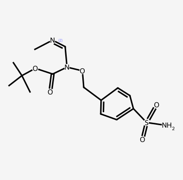 C/N=C\N(OCc1ccc(S(N)(=O)=O)cc1)C(=O)OC(C)(C)C